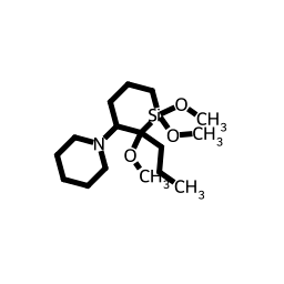 CCCC1(OC)C(N2CCCCC2)CCC[Si]1(OC)OC